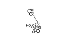 O=C(NC(CC1(CCCCCc2ccc3c(n2)NCCC3)CC1)C(=O)O)c1c(Cl)cccc1Cl